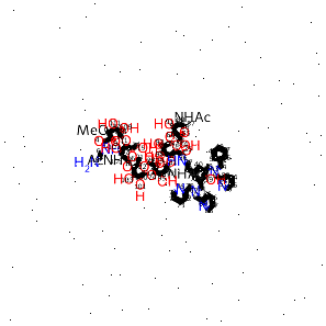 CO[C@@H]1C(C(=O)NCCN)O[C@@H](O[C@@H]2C(CO)O[C@@H](O[C@@H]3C(C)O[C@@H](O[C@@H]4C(CO)O[C@@H](O[C@@H]5C(C(=O)NCCc6cc(CN(Cc7ccccc7)Cc7ccccn7)c(O)c(CN(Cc7ccccn7)Cc7ccccn7)c6)O[C@@H](O[C@@H]6C(CO)O[C@@H](C)C(NC(C)=O)[C@H]6O)C(O)[C@H]5O)C(NC(C)=O)[C@H]4O)C(O)[C@H]3O)C(NC(C)=O)[C@H]2O)C(O)[C@H]1O